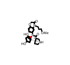 COCCCN1C(=O)COc2ccc(N(C(=O)[C@H]3CNCC[C@@H]3c3cc(O)cc(O)c3)C3CC3)cc21